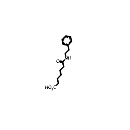 O=C(O)CCCCCC(=O)NCCc1ccccc1